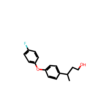 CC(CCO)c1ccc(Oc2ccc(F)cc2)cc1